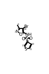 Cc1noc(NS(=O)(=O)c2ccsc2)c1Br